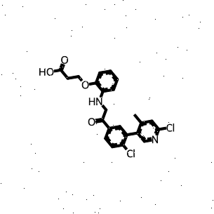 Cc1cc(Cl)ncc1-c1cc(C(=O)CNc2ccccc2OCCC(=O)O)ccc1Cl